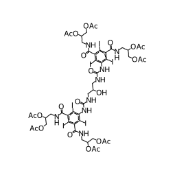 CC(=O)OCC(CNC(=O)c1c(I)c(NC(=O)NCC(O)CNC(=O)Nc2c(I)c(C(=O)NCC(COC(C)=O)OC(C)=O)c(I)c(C(=O)NCC(COC(C)=O)OC(C)=O)c2I)c(I)c(C(=O)NCC(COC(C)=O)OC(C)=O)c1I)OC(C)=O